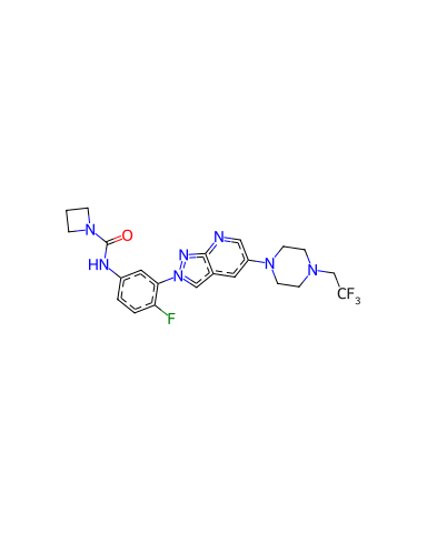 O=C(Nc1ccc(F)c(-n2cc3cc(N4CCN(CC(F)(F)F)CC4)cnc3n2)c1)N1CCC1